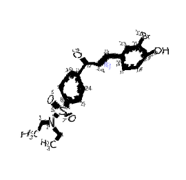 CCN(CC)S(=O)(=O)c1ccc(C(=O)/C=C/c2ccc(O)c(Br)c2)cc1